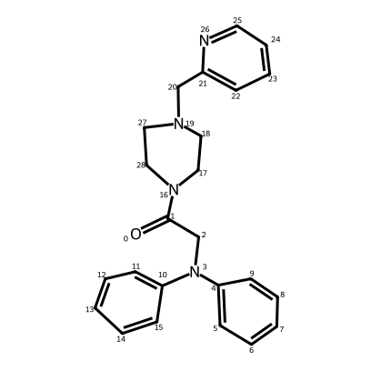 O=C(CN(c1ccccc1)c1ccccc1)N1CCN(Cc2ccccn2)CC1